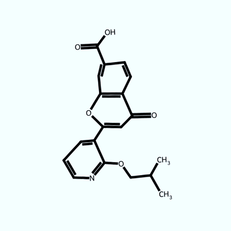 CC(C)COc1ncccc1-c1cc(=O)c2ccc(C(=O)O)cc2o1